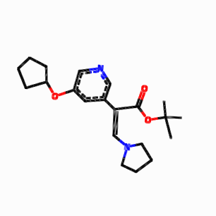 CC(C)(C)OC(=O)C(=CN1CCCC1)c1cncc(OC2CCCC2)c1